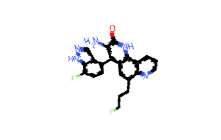 Nc1c(-c2ccc(F)c3[nH]ncc23)c2cc(CCCF)c3ncccc3c2[nH]c1=O